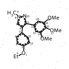 CCOc1ccc(-c2cn(C)nc2-c2cc(OC)c(OC)c(OC)c2)cc1